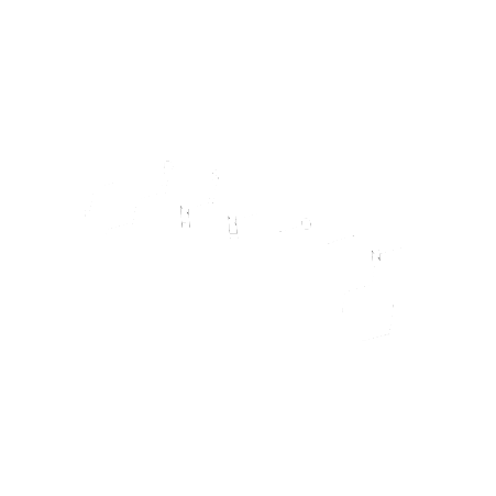 CN(CCOCCNC(=S)NC(=O)c1ccccc1)C1CCCCC1